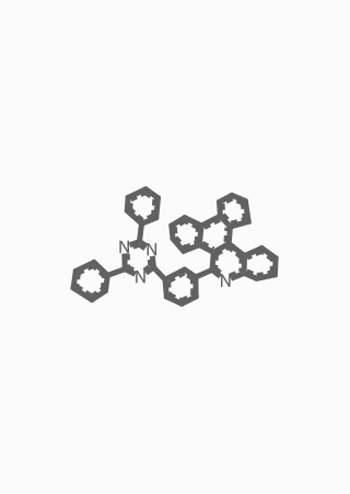 c1ccc(-c2nc(-c3ccccc3)nc(-c3cccc(-c4nc5ccccc5c5c6ccccc6c6ccccc6c45)c3)n2)cc1